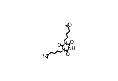 O=c1[nH]c(=O)n(CCCCC2CO2)c(=O)n1CCCCC1CO1